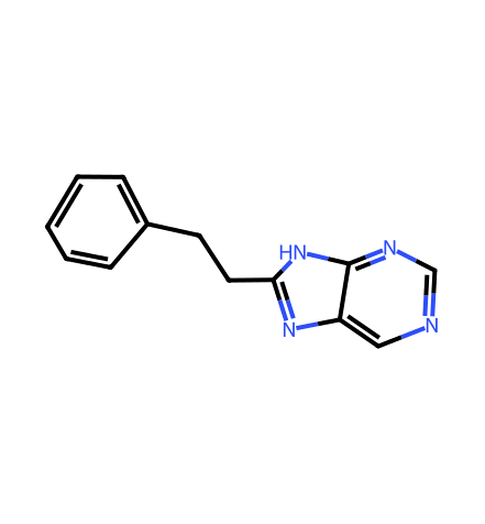 c1ccc(CCc2nc3cncnc3[nH]2)cc1